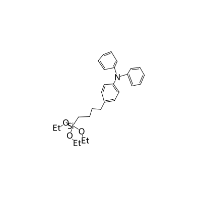 CCO[Si](CCCCc1ccc(N(c2ccccc2)c2ccccc2)cc1)(OCC)OCC